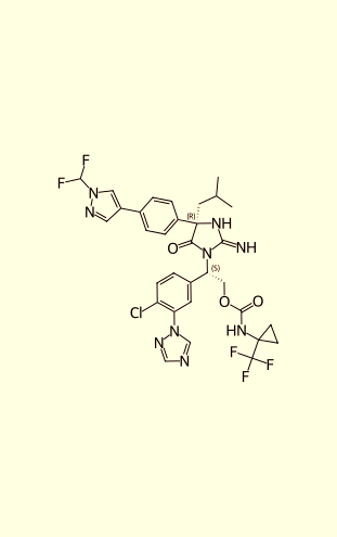 CC(C)C[C@]1(c2ccc(-c3cnn(C(F)F)c3)cc2)NC(=N)N([C@H](COC(=O)NC2(C(F)(F)F)CC2)c2ccc(Cl)c(-n3cncn3)c2)C1=O